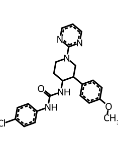 COc1ccc(C2CN(c3ncccn3)CCC2NC(=O)Nc2ccc(Cl)cc2)cc1